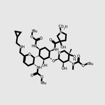 CN(C(=O)OC(C)(C)C)[C@@H]1[C@@H](O)[C@@H](O[C@H]2[C@H](NC(=O)C3(O)CCN(C(=O)O)C3)C[C@H](NC(=O)OC(C)(C)C)C([C@H]3OC(CNCC4CC4)=CC[C@H]3NC(=O)OC(C)(C)C)[C@@H]2O)OC[C@]1(C)O